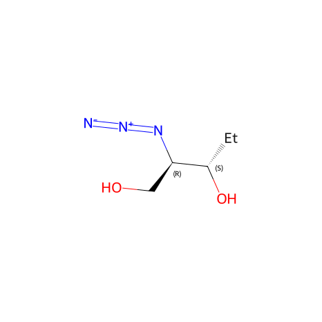 CC[C@H](O)[C@@H](CO)N=[N+]=[N-]